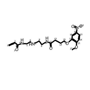 C=CC(=O)NCCNCCNC(=O)CCCOc1cc([N+](=O)[O-])[c]cc1OC